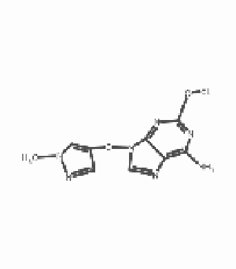 CCOc1nc(N)c2ncn(Cc3cnn(C)c3)c2n1